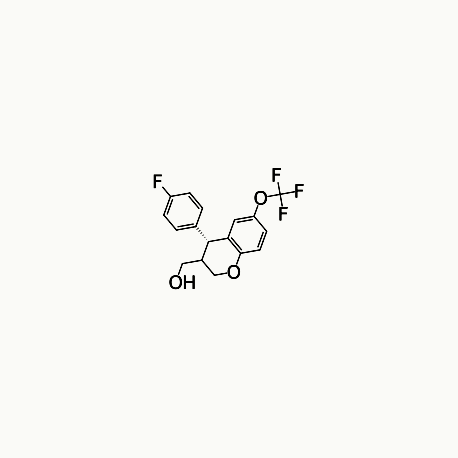 OCC1COc2ccc(OC(F)(F)F)cc2[C@H]1c1ccc(F)cc1